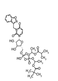 CC(OC(=O)C(C)C)OP(=O)(OC(C)OC(=O)C(C)(C)C)OP(=O)(O)OC[C@H]1O[C@@H](n2ccc(=O)n(Cc3noc4ccccc34)c2=O)[C@@H](O)C1O